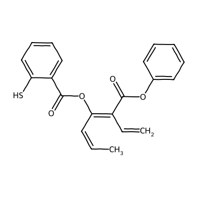 C=C/C(C(=O)Oc1ccccc1)=C(\C=C/C)OC(=O)c1ccccc1S